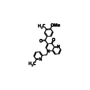 COc1ccc(C(=O)c2cn(Cc3cccc(C)n3)c3cccnc3c2=O)cc1C